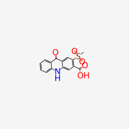 CS(=O)(=O)c1cc2c(=O)c3ccccc3[nH]c2cc1C(=O)O